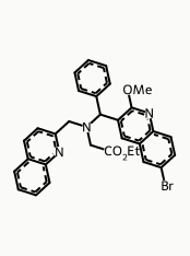 CCOC(=O)CN(Cc1ccc2ccccc2n1)C(c1ccccc1)c1cc2cc(Br)ccc2nc1OC